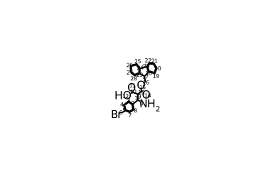 NC(c1ccc(Br)cc1)C(C(=O)O)C(=O)OCC1c2ccccc2-c2ccccc21